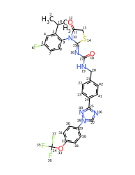 CC(C)c1cc(F)ccc1N1C(=O)CSC1=NC(=O)NCc1ccc(-c2ncn(-c3ccc(OC(F)(F)F)cc3)n2)cc1